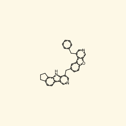 c1ccc(Cc2cncc3oc4ccc(Cc5cncc6c5[nH]c5c7c(ccc56)CCC7)cc4c23)cc1